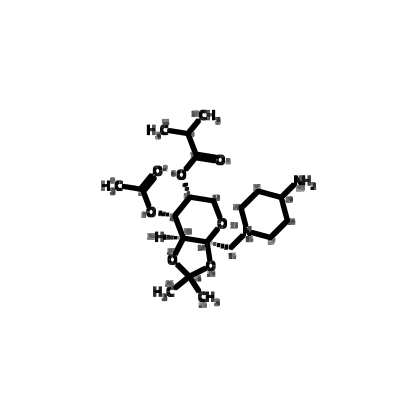 CC(=O)O[C@@H]1[C@H](OC(=O)C(C)C)CO[C@@]2(CN3CCC(N)CC3)OC(C)(C)O[C@@H]12